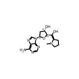 CN1CCCC1=C(O)[C@H]1O[C@@H](n2cnc3c(N)ncnc32)C[C@@H]1O